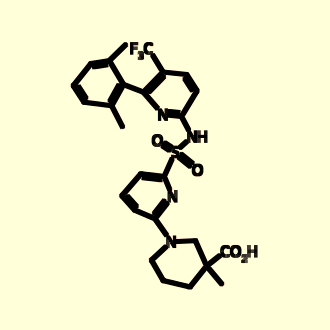 Cc1cccc(C)c1-c1nc(NS(=O)(=O)c2cccc(N3CCCC(C)(C(=O)O)C3)n2)ccc1C(F)(F)F